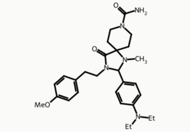 CCN(CC)c1ccc(C2N(CCc3ccc(OC)cc3)C(=O)C3(CCN(C(N)=O)CC3)N2C)cc1